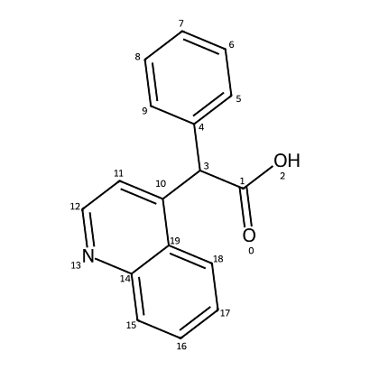 O=C(O)C(c1ccccc1)c1ccnc2ccccc12